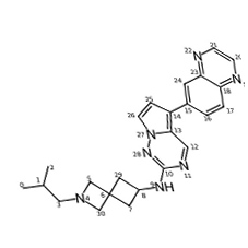 CC(C)CN1CC2(CC(Nc3ncc4c(-c5ccc6nccnc6c5)ccn4n3)C2)C1